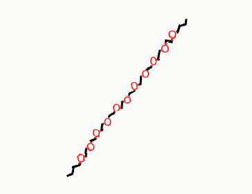 CCCCOCCOCCOCCOCCOCCOCCOCCOCCOCCOCCOCCCC